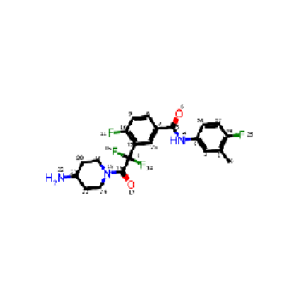 Cc1cc(NC(=O)c2ccc(F)c(C(F)(F)C(=O)N3CCC(N)CC3)c2)ccc1F